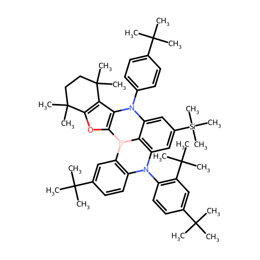 CC(C)(C)c1ccc(N2c3cc([Si](C)(C)C)cc4c3B(c3cc(C(C)(C)C)ccc3N4c3ccc(C(C)(C)C)cc3C(C)(C)C)c3oc4c(c32)C(C)(C)CCC4(C)C)cc1